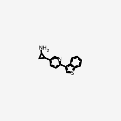 NC1CC1c1ccc(-c2csc3ccccc23)nc1